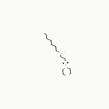 O=S(=O)(CCNC[C@H](O)[C@@H](O)[C@H](O)CCO)N1CCOCC1